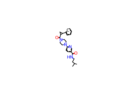 CC(C)CCNC(=O)c1ccc(N2CCN(C(=O)C3CC3c3ccccc3)CC2)nc1